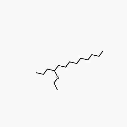 CCCCCCCCCC(CCC)OCC